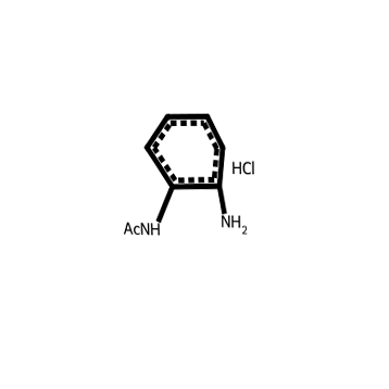 CC(=O)Nc1ccccc1N.Cl